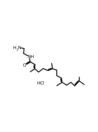 CC(C)=CCCC(C)=CCCC(C)=CCCC(C)=CC(=O)NCCN.Cl